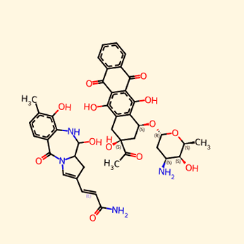 CC(=O)[C@]1(O)Cc2c(O)c3c(c(O)c2[C@@H](O[C@H]2C[C@H](N)[C@H](O)[C@H](C)O2)C1)C(=O)c1ccccc1C3=O.Cc1ccc2c(c1O)NC(O)C1CC(/C=C/C(N)=O)=CN1C2=O